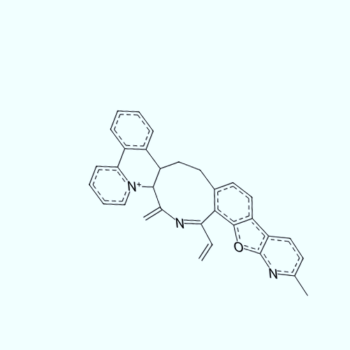 C=C/C1=N/C(=C)C2C(CCc3ccc4c(oc5nc(C)ccc54)c31)c1ccccc1-c1cccc[n+]12